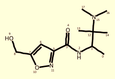 CC(NC(=O)c1cc(CO)on1)C(C)(C)N(C)C